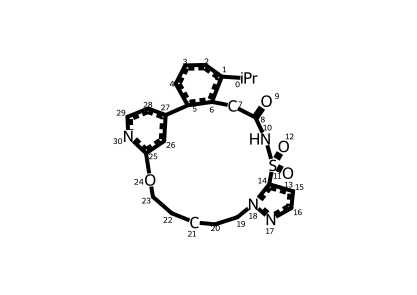 CC(C)c1cccc2c1CC(=O)NS(=O)(=O)c1ccnn1CCCCCOc1cc-2ccn1